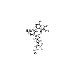 CCN(C(=O)c1cc(F)ccc1C/C(N)=C(/N=C\N)N1CCC2(C1)CN(C(CCC=O)C(C)C)C2)C(C)C